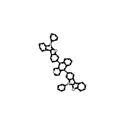 c1ccc(-n2c3ccccc3c3c4ccc(-c5c6ccccc6c(-c6ccc7c8c9ccccc9oc8n(-c8ccccc8)c7c6)c6ccccc56)cc4oc32)cc1